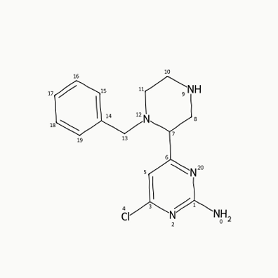 Nc1nc(Cl)cc(C2CNCCN2Cc2ccccc2)n1